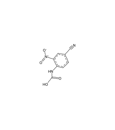 N#Cc1ccc(NC(=O)O)c([N+](=O)[O-])c1